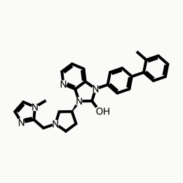 Cc1ccccc1-c1ccc(N2c3cccnc3N([C@H]3CCN(Cc4nccn4C)C3)C2O)cc1